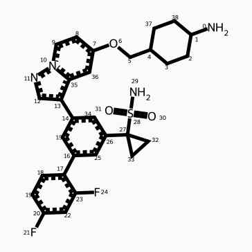 NC1CCC(COc2ccn3ncc(-c4cc(-c5ccc(F)cc5F)cc(C5(S(N)(=O)=O)CC5)c4)c3c2)CC1